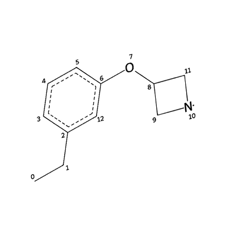 CCc1cccc(OC2C[N]C2)c1